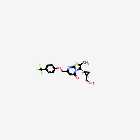 Cc1sc2nc(COc3ccc(C(F)(F)F)cc3)cc(=O)n2c1[C@@H]1C[C@H]1CO